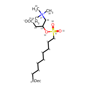 CCCCCCCCCCCCCCCCCCS(=O)(=O)OC(CC(=O)[O-])C[N+](C)(C)C